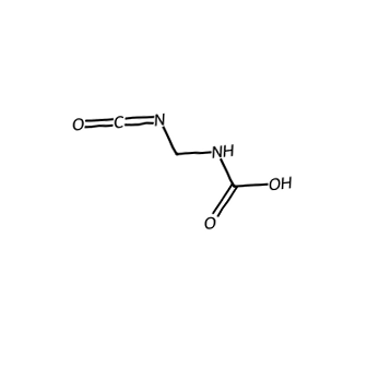 O=C=NCNC(=O)O